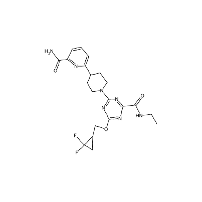 CCNC(=O)c1nc(OCC2CC2(F)F)nc(N2CCC(c3cccc(C(N)=O)n3)CC2)n1